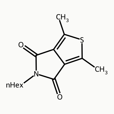 CCCCCCN1C(=O)c2c(C)sc(C)c2C1=O